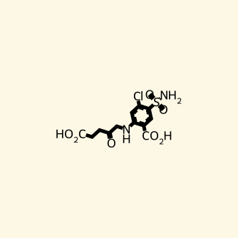 NS(=O)(=O)c1cc(C(=O)O)c(NCC(=O)CCC(=O)O)cc1Cl